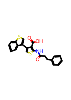 O=C(CCc1ccccc1)Nc1scc(-c2csc3ccccc23)c1C(=O)O